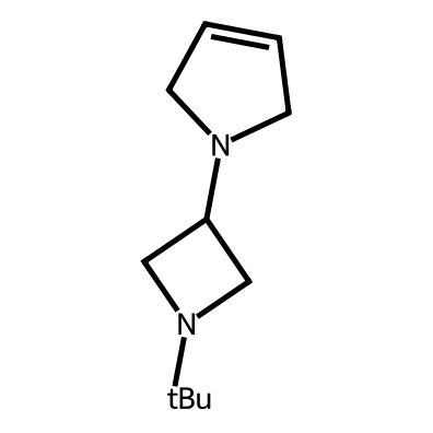 CC(C)(C)N1CC(N2CC=CC2)C1